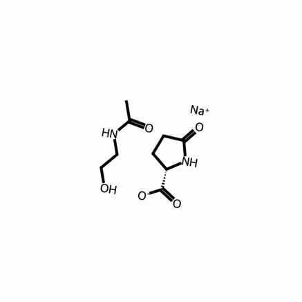 CC(=O)NCCO.O=C1CC[C@@H](C(=O)[O-])N1.[Na+]